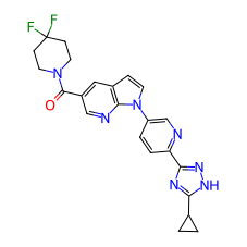 O=C(c1cnc2c(ccn2-c2ccc(-c3n[nH]c(C4CC4)n3)nc2)c1)N1CCC(F)(F)CC1